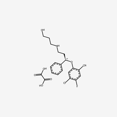 N#Cc1cc(F)c(Cl)cc1O[C@H](CCNCCCO)c1ccccc1.O=C(O)C(=O)O